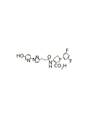 O=C(CCc1ccn(-c2ccc(O)cn2)n1)NC1=C(C(=O)O)C[C@@H](c2cc(F)cc(F)c2)CC1